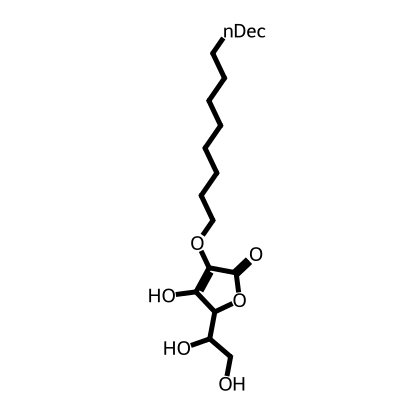 CCCCCCCCCCCCCCCCCCOC1=C(O)C(C(O)CO)OC1=O